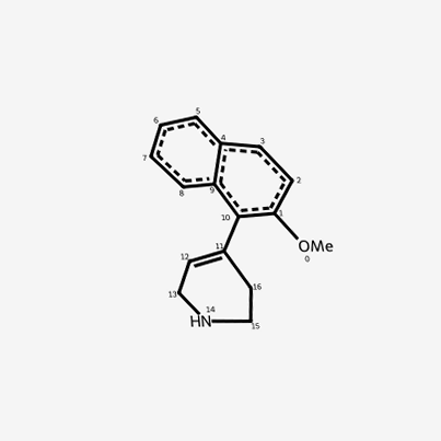 COc1ccc2ccccc2c1C1=CCNCC1